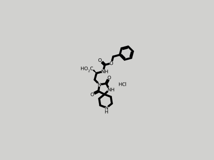 Cl.O=C(N[C@@H](CN1C(=O)NC2(CCNCC2)C1=O)C(=O)O)OCc1ccccc1